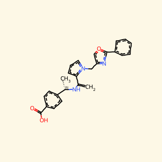 C=C(N[C@@H](C)c1ccc(C(=O)O)cc1)c1cccn1Cc1coc(-c2ccccc2)n1